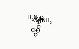 NC(=O)Nc1sc(-c2ccc(OC(Cl)c3ccccc3)cc2)cc1C(N)=O